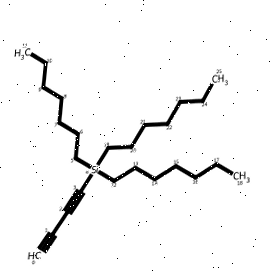 C#CC#C[Si](CCCCCCC)(CCCCCCC)CCCCCCC